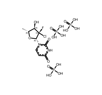 C[C@H]1O[C@@H](n2ccc(=O)[nH]c2=O)[C@@](F)(Cl)[C@@H]1O.O=P(O)(O)O.O=P(O)(O)O.O=P(O)(O)O